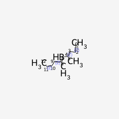 C/C=C\C=C(/C)B/C(C)=C/C=C\C